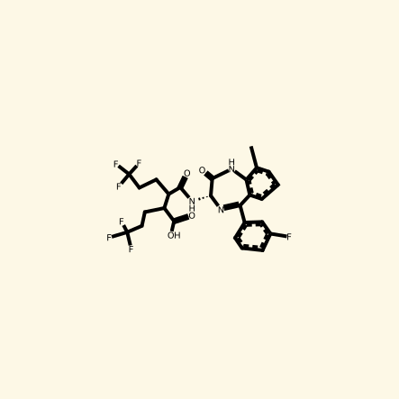 Cc1cccc2c1NC(=O)[C@@H](NC(=O)C(CCC(F)(F)F)C(CCC(F)(F)F)C(=O)O)N=C2c1cccc(F)c1